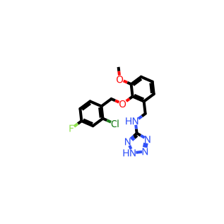 COc1cccc(CNc2nn[nH]n2)c1OCc1ccc(F)cc1Cl